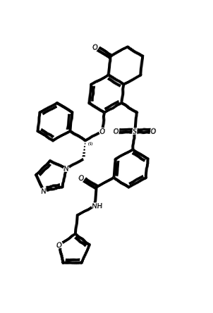 O=C(NCc1ccco1)c1cccc(S(=O)(=O)Cc2c(O[C@H](Cn3ccnc3)c3ccccc3)ccc3c2CCCC3=O)c1